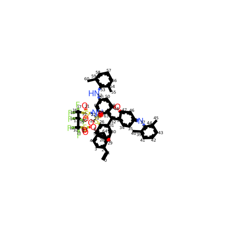 C=Cc1ccc(OS(=O)(=O)C(F)(F)C(F)(F)C(F)(F)S(=O)(=O)NS(=O)(=O)c2ccccc2-c2c3cc/c(=N\c4c(C)cccc4C)cc-3oc3cc(Nc4c(C)cccc4C)ccc23)cc1